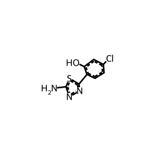 Nc1nnc(-c2ccc(Cl)cc2O)s1